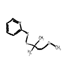 COCC(C)(C)SSc1ccccn1